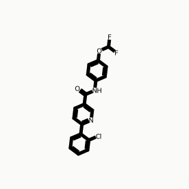 O=C(Nc1ccc(OC(F)F)cc1)c1ccc(-c2ccccc2Cl)nc1